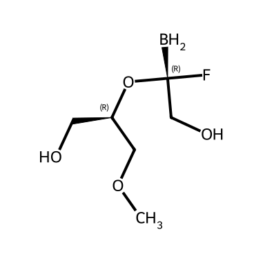 B[C@@](F)(CO)O[C@H](CO)COC